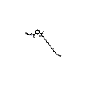 N#C/C=C/C(=O)c1cccc(C(=O)NCCOCCOCCOCCN=[N+]=[N-])c1